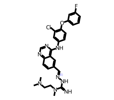 CN(C)CCN(C)C(=N)N/N=C/c1ccc2ncnc(Nc3ccc(Oc4cccc(F)c4)c(Cl)c3)c2c1